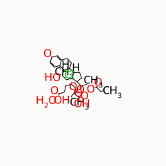 CCC(=O)OCC(=O)[C@@]1(OC(=O)CC)[C@@H](C)C[C@H]2[C@@H]3CCC4=CC(=O)C=C[C@]4(C)C3(Cl)[C@@H](O)C[C@@]21C(CCC(=O)O)CCC(=O)O.O